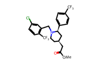 COC(=O)C[C@H]1CCN(Cc2cc(Cl)ccc2C(F)(F)F)[C@@H](c2ccc(C(F)(F)F)cc2)C1